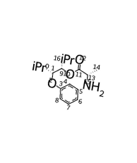 CC(C)[C@@H](Oc1ccccc1)[C@@H](OC(=O)[C@H](C)N)C(C)C